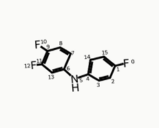 Fc1ccc(Nc2ccc(F)c(F)c2)cc1